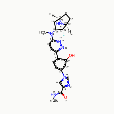 CN(c1ccc(-c2ccc(-n3cnc(C(=O)NC(C)(C)C)c3)cc2O)nn1)[C@@H]1C[C@H]2CC[C@H](N2)[C@@H]1F